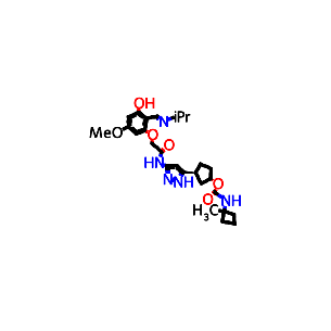 COc1cc(O)c(/C=N/C(C)C)c(OCC(=O)Nc2cc([C@H]3CC[C@@H](OC(=O)NC4(C)CCC4)C3)[nH]n2)c1